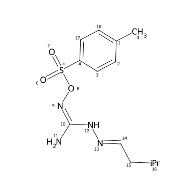 Cc1ccc(S(=O)(=O)ON=C(N)NN=CCC(C)C)cc1